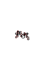 CC1(C)c2ccccc2-c2ccc(B(c3ccccc3-c3ccccc3)c3cc4c5cccc6c5c(cc4c4ccccc34)-c3ccc(N(c4ccc5c(c4)C(C)(C)c4ccccc4-5)c4ccccc4-c4ccccc4)cc3O6)cc21